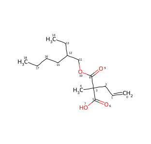 C=CCC(C)(C(=O)O)C(=O)OCC(CC)CCCC